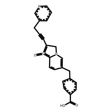 O=C(O)c1ccc(CC2=CN3CC(C#CCc4cccnc4)=S(=O)=C3C=C2)cc1